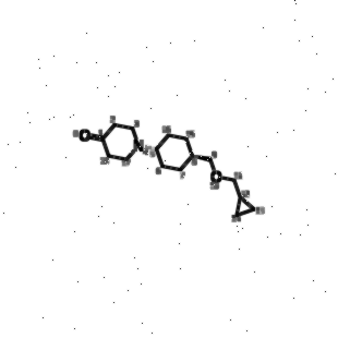 O=C1CCN([C@H]2CC[C@H](COCC3CC3)CC2)CC1